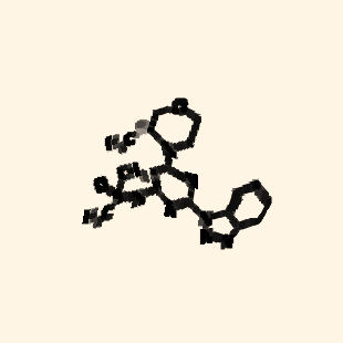 C[C@@H]1COCCN1c1cc(N=S(C)(C)=O)nc(-n2nnc3ccccc32)n1